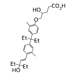 CCC(O)(C=Cc1ccc(C(CC)(CC)c2ccc(OCC(O)CCC(=O)O)c(C)c2)cc1C)CC